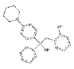 CCCc1ccccc1CC(O)(c1ccccc1)c1ccc(N2CCCCC2)cc1